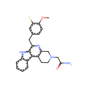 COc1ccc(Cc2nc3c(c4c2[nH]c2ccccc24)CCN(CC(N)=O)C3)cc1F